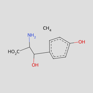 C.NC(C(=O)O)C(O)c1ccc(O)cc1